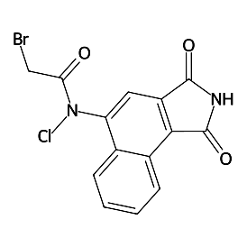 O=C1NC(=O)c2c1cc(N(Cl)C(=O)CBr)c1ccccc21